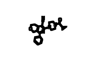 N#Cc1c(N2CCN(C(=O)C3CC3)CC2)nc(-c2ccccc2)c2c1CCOC2